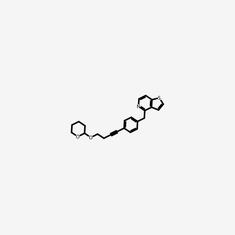 C(#Cc1ccc(Cc2nccc3sccc23)cc1)CCOC1CCCCO1